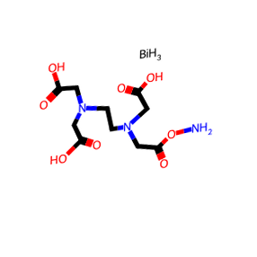 NOC(=O)CN(CCN(CC(=O)O)CC(=O)O)CC(=O)O.[BiH3]